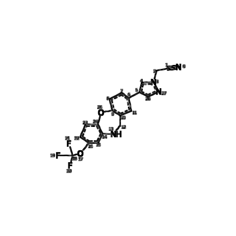 N#CCn1cc(-c2ccc3c(c2)CNc2cc(OC(F)(F)F)ccc2O3)cn1